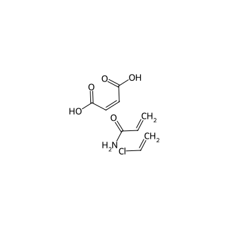 C=CC(N)=O.C=CCl.O=C(O)/C=C\C(=O)O